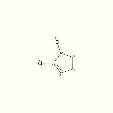 ClC1=[C]CCC1Cl